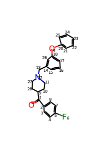 O=C(c1ccc(F)cc1)C1CCN(Cc2cccc(Oc3ccccc3)c2)CC1